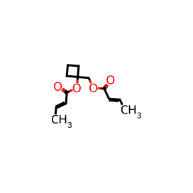 C/C=C/C(=O)OCC1(OC(=O)/C=C/C)CCC1